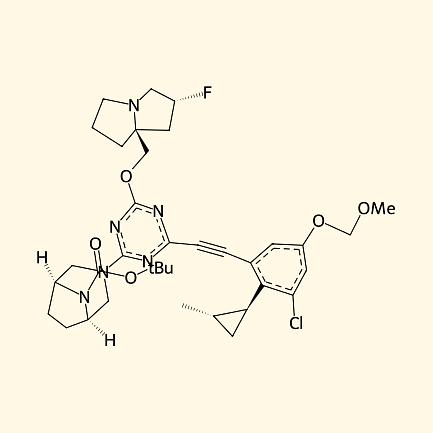 COCOc1cc(Cl)c([C@H]2C[C@@H]2C)c(C#Cc2nc(OC[C@@]34CCCN3C[C@H](F)C4)nc(N3C[C@H]4CC[C@@H](C3)N4C(=O)OC(C)(C)C)n2)c1